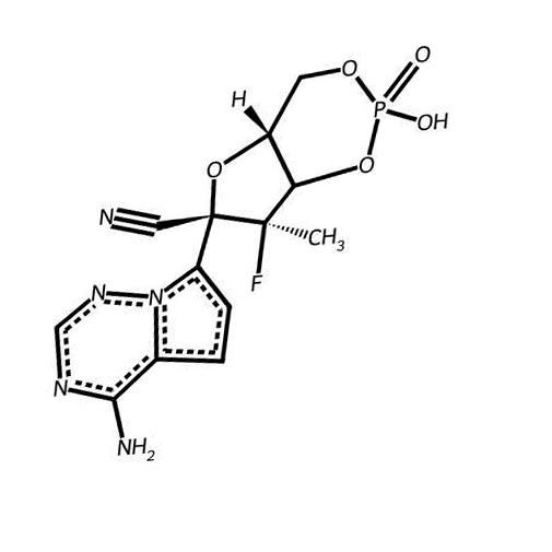 C[C@@]1(F)C2OP(=O)(O)OC[C@H]2O[C@@]1(C#N)c1ccc2c(N)ncnn12